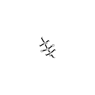 C[PH](C)(C)[Cu]([Cl])([Cl])[PH](C)(C)C